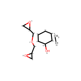 C(OCC1CO1)C1CO1.CCC.OC1CCCCC1